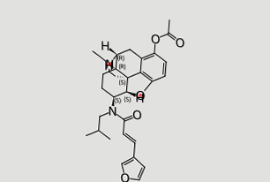 CC(=O)Oc1ccc2c3c1C[C@@H]1[C@@H]4CC[C@H](N(CC(C)C)C(=O)C=Cc5ccoc5)[C@@H](O2)[C@]34CCN1C